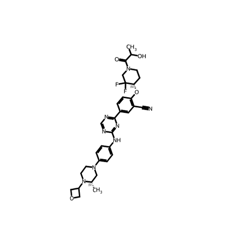 CC(O)C(=O)N1CC[C@H](Oc2ccc(-c3ncnc(Nc4ccc(N5CCN(C6COC6)[C@@H](C)C5)cc4)n3)cc2C#N)C(F)(F)C1